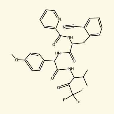 COc1ccc(C(NC(=O)C(Cc2ccccc2C#N)NC(=O)c2ccccn2)C(=O)NC(C(=O)C(F)(F)F)C(C)C)cc1